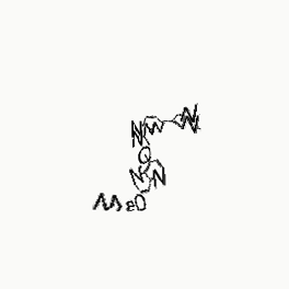 COc1cnc2c(OCc3nnc4ccc(-c5cnn(C)c5)nn34)ccnc2c1